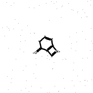 O=C1CC=CC2=C1C=N2